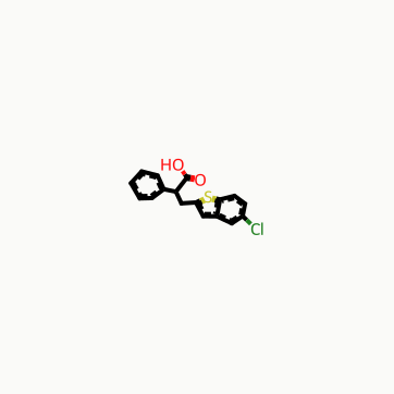 O=C(O)C(Cc1cc2cc(Cl)ccc2s1)c1ccccc1